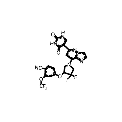 N#Cc1ccc(OC2CN(c3cc(-c4c[nH]c(=O)[nH]c4=O)nn4ccnc34)CC2(F)F)cc1OC(F)(F)F